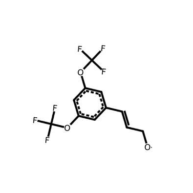 [O]CC=Cc1cc(OC(F)(F)F)cc(OC(F)(F)F)c1